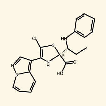 CCC(Nc1ccccc1)[C@]1(C(=O)O)NC(c2cnn3ccccc23)=C(Cl)S1